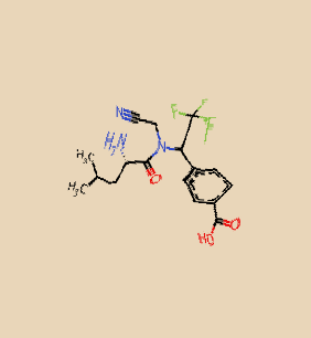 CC(C)C[C@H](N)C(=O)N(CC#N)C(c1ccc(C(=O)O)cc1)C(F)(F)F